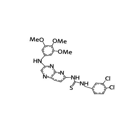 COc1cc(Nc2cnc3ccc(NC(=S)NCc4ccc(Cl)c(Cl)c4)nc3n2)cc(OC)c1OC